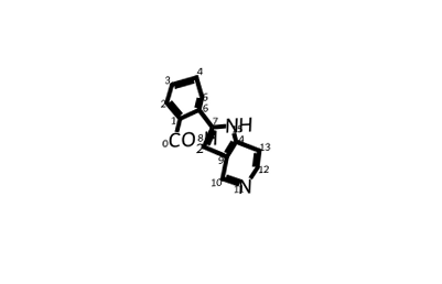 O=C(O)c1ccccc1-c1cc2cnccc2[nH]1